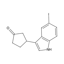 O=C1CCC(c2c[nH]c3ccc(I)cc23)C1